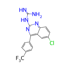 N=C(N)Nc1nc(-c2ccc(C(F)(F)F)cc2)c2cc(Cl)ccc2n1